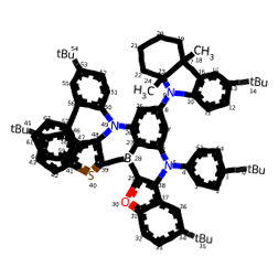 CC(C)(C)c1ccc(N2c3cc(N4c5ccc(C(C)(C)C)cc5C5(C)CCCCC45C)cc4c3B(c3oc5ccc(C(C)(C)C)cc5c32)c2sc3ccc(C(C)(C)C)cc3c2N4c2ccc(C(C)(C)C)cc2-c2ccccc2)cc1